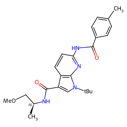 COC[C@H](C)NC(=O)c1cn(C(C)(C)C)c2nc(NC(=O)c3ccc(C)cc3)ccc12